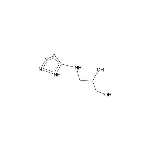 OCC(O)CNc1nnn[nH]1